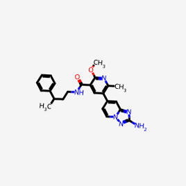 COc1nc(C)c(-c2ccn3nc(N)nc3c2)cc1C(=O)NCCC(C)c1ccccc1